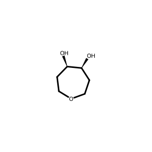 O[C@@H]1CCOCC[C@@H]1O